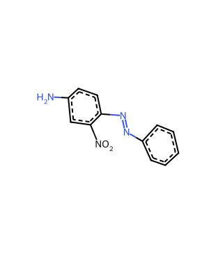 Nc1ccc(/N=N/c2ccccc2)c([N+](=O)[O-])c1